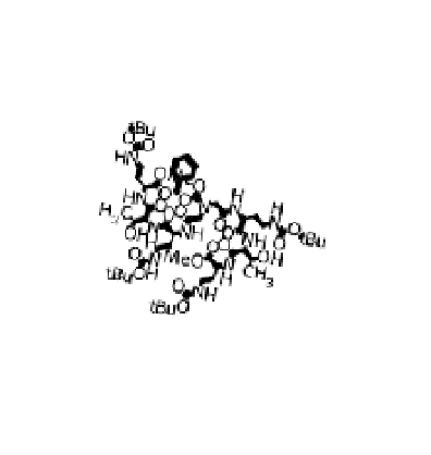 COC(=O)[C@H](CCNC(=O)OC(C)(C)C)NC(=O)[C@@H](NC(=O)[C@H](CCNC(=O)OC(C)(C)C)NC(=O)CN(CC(=O)N[C@@H](CCNC(=O)OC(C)(C)C)C(=O)N[C@H](C(=O)N[C@@H](CCNC(=O)OC(C)(C)C)C(=O)OC)[C@@H](C)O)C(=O)OCc1ccccc1)[C@@H](C)O